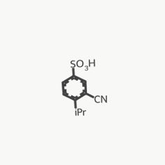 CC(C)c1ccc(S(=O)(=O)O)cc1C#N